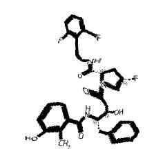 Cc1c(O)cccc1C(=O)N[C@@H](Cc1ccccc1)[C@H](O)C(=O)N1C[C@@H](F)C[C@H]1C(=O)NCc1c(F)cccc1F